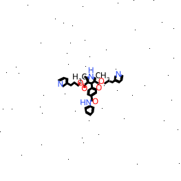 CC1=C(C(=O)OCCCc2cccnc2)C(c2ccc(C(=O)Nc3ccccc3)cc2)C(C(=O)OCCCc2cccnc2)=C(C)N1